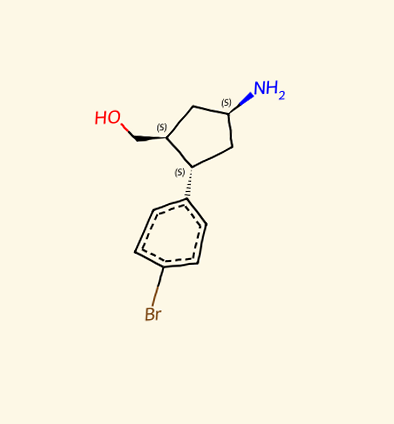 N[C@@H]1C[C@H](CO)[C@@H](c2ccc(Br)cc2)C1